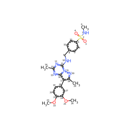 CNS(=O)(=O)c1ccc(CNc2nc(C)nc3c(-c4ccc(OC)c(OC)c4)c(C)nn23)cc1